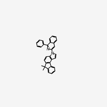 CC1(C)c2ccccc2-c2c1ccc1c2ccn1-c1cc2ccccc2c(-c2ccccc2)n1